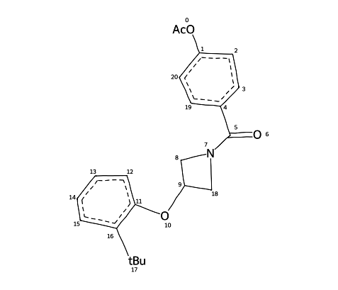 CC(=O)Oc1ccc(C(=O)N2CC(Oc3ccccc3C(C)(C)C)C2)cc1